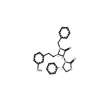 COc1cccc(CC[C@@H]2[C@H](N3C(=O)OC[C@@H]3c3ccccc3)C(=O)N2Cc2ccccc2)c1